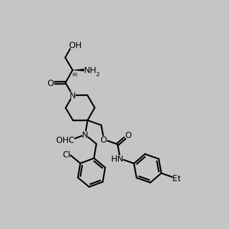 CCc1ccc(NC(=O)OCC2(N(C=O)Cc3ccccc3Cl)CCN(C(=O)[C@H](N)CO)CC2)cc1